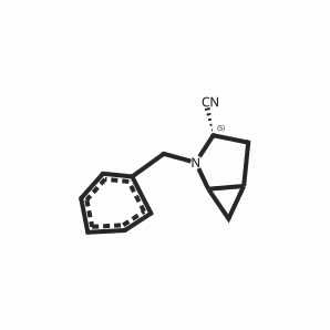 N#C[C@@H]1CC2CC2N1Cc1ccccc1